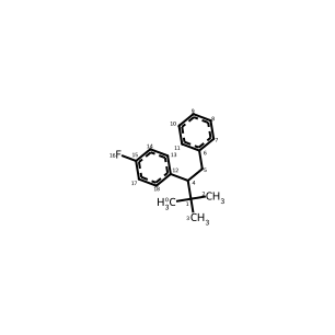 CC(C)(C)C(Cc1ccccc1)c1ccc(F)cc1